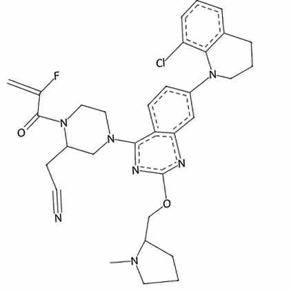 C=C(F)C(=O)N1CCN(c2nc(OCC3CCCN3C)nc3cc(N4CCCc5cccc(Cl)c54)ccc23)CC1CC#N